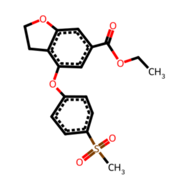 CCOC(=O)c1cc2c(c(Oc3ccc(S(C)(=O)=O)cc3)c1)CCO2